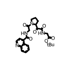 CC(C)(C)OC(=O)CNC(=O)C(=O)C1CCCN1C(=O)CNC(=O)c1ccnc2ccccc12